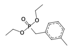 CCOP(=O)(Cc1cccc(C)c1)OCC